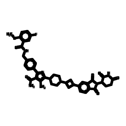 COc1ccc(F)cc1C(=O)NCc1ccc(-c2nn(C3CCN(C4CN(c5ccc6c(c5)C(=O)N(C5CCC(=O)NC5=O)C6=O)C4)CC3)c(N)c2C(N)=O)cc1